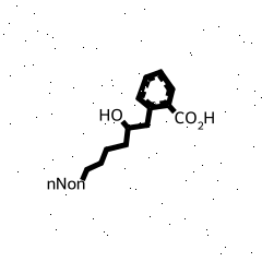 CCCCCCCCCCCCCC(O)Cc1ccccc1C(=O)O